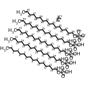 CCCCCCCCCCCCCCCCOP(=O)(O)O.CCCCCCCCCCCCCCCCOP(=O)(O)O.CCCCCCCCCCCCCCCCOP(=O)(O)O.CCCCCCCCCCCCCCCCOP(=O)(O)O.CCCCCCCCCCCCCCCCOP(=O)([O-])[O-].[K+].[K+]